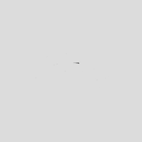 CC(C)(C)[Si](C)(C)OCC[C@@H]1CC[C@@H](OS(C)(=O)=O)C1